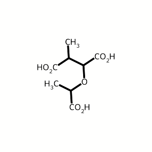 CC(OC(C(=O)O)C(C)C(=O)O)C(=O)O